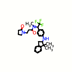 CN(C(=O)CCN1CCCC1=O)C(c1ccc(NC2Cc3ccccc3C2(C)C)cc1)C(F)(F)F